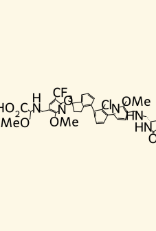 COC[C@H](NCc1cc(C(F)(F)F)c(O[C@H]2CCc3c(-c4cccc(-c5ccc(CNC[C@@H]6CCC(=O)N6)c(OC)n5)c4Cl)cccc32)nc1OC)C(=O)O